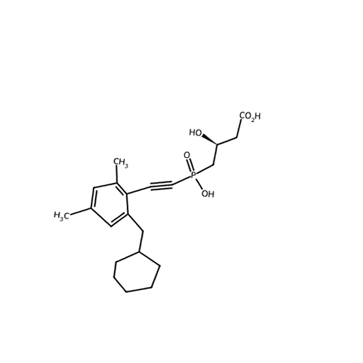 Cc1cc(C)c(C#CP(=O)(O)C[C@@H](O)CC(=O)O)c(CC2CCCCC2)c1